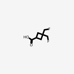 O=C(O)C1CC(CF)(CF)C1